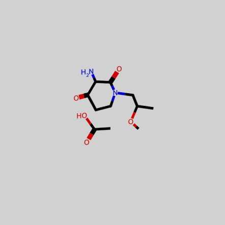 CC(=O)O.COC(C)CN1CCC(=O)C(N)C1=O